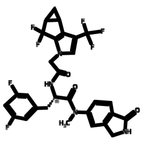 CN(C(=O)[C@H](Cc1cc(F)cc(F)c1)NC(=O)Cn1cc(C(F)(F)F)c2c1C(F)(F)C1CC21)c1ccc2c(c1)CNC2=O